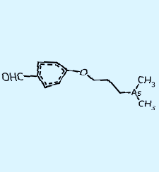 C[As](C)CCCOc1ccc(C=O)cc1